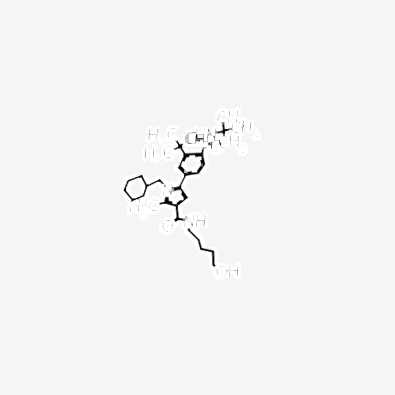 Cc1c(C(=O)NCCCCCO)cc(-c2ccc(S(=O)(=O)NC(C)(C)C)c(C(C)(C)C)c2)n1CC1CCCCC1